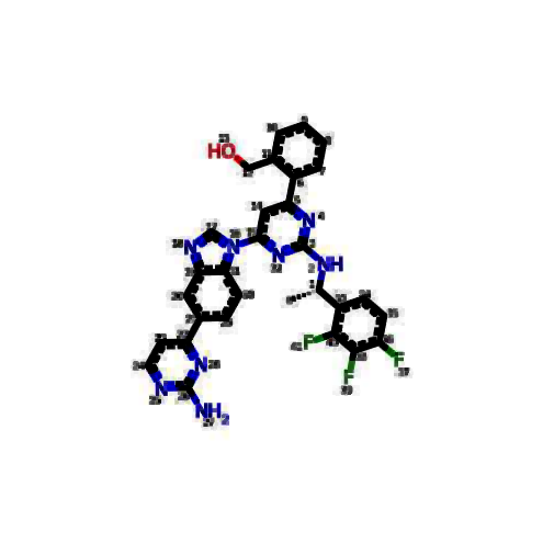 C[C@H](Nc1nc(-c2ccccc2CO)cc(-n2cnc3cc(-c4ccnc(N)n4)ccc32)n1)c1ccc(F)c(F)c1F